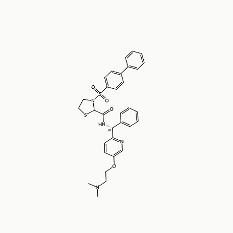 CN(C)CCOc1ccc([C@H](NC(=O)C2SCCN2S(=O)(=O)c2ccc(-c3ccccc3)cc2)c2ccccc2)nc1